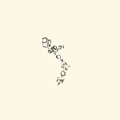 CC1(COc2ccc(CN(CC(=O)O)S(=O)(=O)C3CCc4ccccc4N3)cc2)COC(c2ccc(C(F)(F)F)cc2)=N1